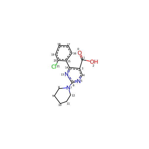 O=C(O)c1cnc(N2CCCCC2)nc1-c1ccccc1Cl